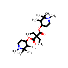 CCC(CC)(C(=O)OC1CCN(C)C(C)(C)C1C)C(=O)OC1CCN(C)C(C)(C)C1C